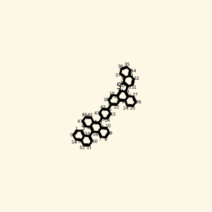 c1ccc2c(-c3c4ccccc4c(-c4ccc(-c5ccc6c(c5)c5ccccc5c5c7ccc8ccccc8c7sc65)cc4)c4ccccc34)cccc2c1